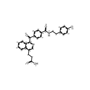 O=C(O)CCc1cnc(C(=O)c2ccc(C(=O)NCCc3ccc(Cl)cc3)cc2)c2ccccc12